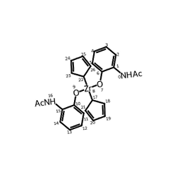 CC(=O)Nc1ccccc1[O][Zr]([O]c1ccccc1NC(C)=O)([CH]1C=CC=C1)[CH]1C=CC=C1